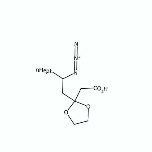 CCCCCCCC(CC1(CC(=O)O)OCCO1)N=[N+]=[N-]